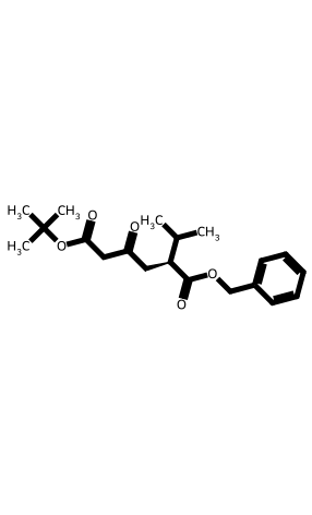 CC(C)[C@H](CC(=O)CC(=O)OC(C)(C)C)C(=O)OCc1ccccc1